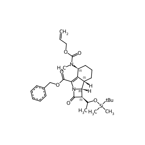 C=CCOC(=O)N(C)[C@H]1CCC[C@H]2C1=C(C(=O)OCc1ccccc1)N1C(=O)[C@H](C(C)O[Si](C)(C)C(C)(C)C)[C@@H]21